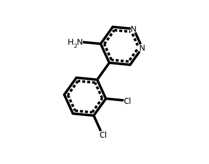 Nc1cnncc1-c1cccc(Cl)c1Cl